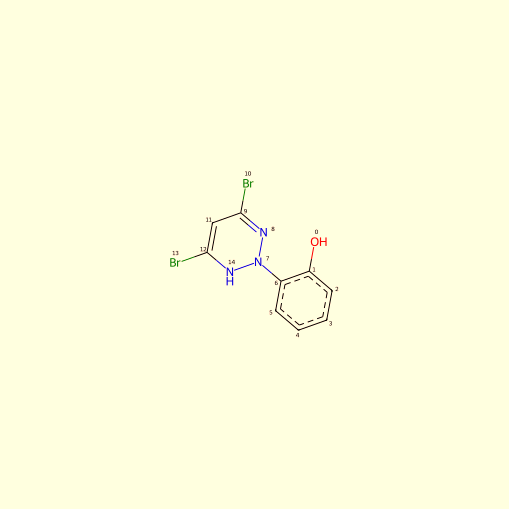 Oc1ccccc1N1N=C(Br)C=C(Br)N1